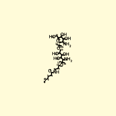 CSCCCC(=O)NCCCOC(C)(C)C(N)[C@H](O)[C@H](O)C(O)COC(C)(C)[C@@H]1OC(CO)[C@@H](O)C(O)C1N